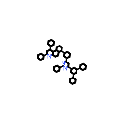 c1ccc(-c2cc(-c3ccccc3)cc(-c3cc(-c4cccc(-c5cccc6c5ccc5nc(-c7ccccc7)cc(-c7ccccc7)c56)c4)nc(-c4ccccc4)n3)c2)cc1